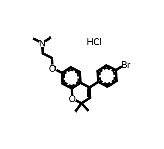 CN(C)CCOc1ccc2c(c1)OC(C)(C)C=C2c1ccc(Br)cc1.Cl